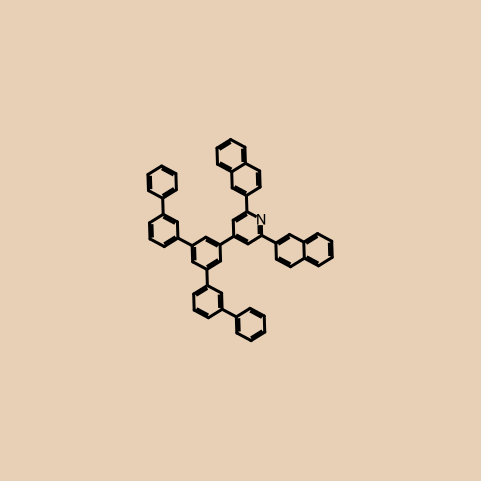 c1ccc(-c2cccc(-c3cc(-c4cccc(-c5ccccc5)c4)cc(-c4cc(-c5ccc6ccccc6c5)nc(-c5ccc6ccccc6c5)c4)c3)c2)cc1